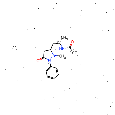 C[C@@H](CC1CC(=O)N(c2ccccc2)N1C)NC(=O)C(F)(F)F